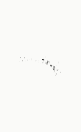 COCCOC(=O)N1CCN(c2nc(-c3ccccc3O)nc3cc(C)ccc23)CC1